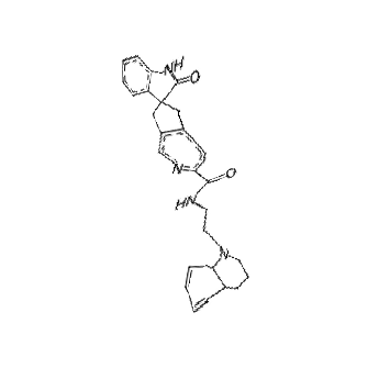 O=C(NCCN1CCCC2C=CC=CC21)c1cc2c(cn1)CC1(C2)C(=O)Nc2ccccc21